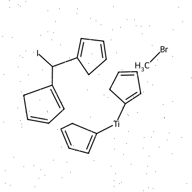 C1=CC[C]([Ti][C]2=CC=CC2)=C1.CBr.IC(C1=CC=CC1)C1=CC=CC1